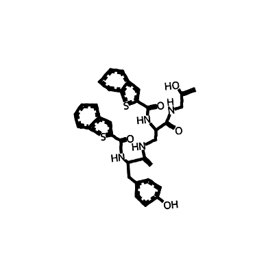 C=C(O)CNC(=O)C(CNC(=C)C(Cc1ccc(O)cc1)NC(=O)c1cc2ccccc2s1)NC(=O)c1cc2ccccc2s1